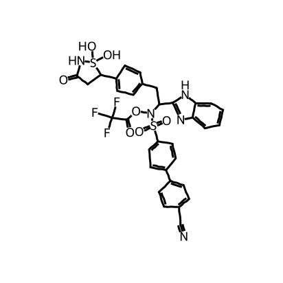 N#Cc1ccc(-c2ccc(S(=O)(=O)N(OC(=O)C(F)(F)F)C(Cc3ccc(C4CC(=O)NS4(O)O)cc3)c3nc4ccccc4[nH]3)cc2)cc1